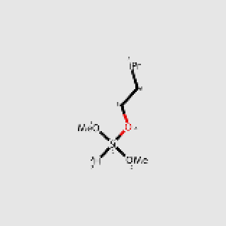 [2H][Si](OC)(OC)OCCC(C)C